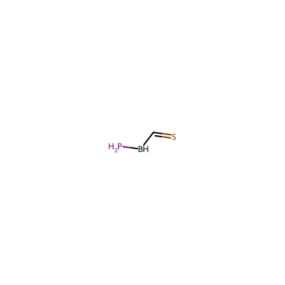 PBC=S